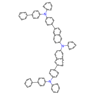 c1ccc(-c2ccc(N(c3ccccc3)c3ccc(-c4ccc5cc(N(c6ccccc6)c6ccc7cc(-c8ccc(N(c9ccccc9)c9ccc(-c%10ccccc%10)cc9)cc8)ccc7c6)ccc5c4)cc3)cc2)cc1